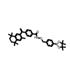 C=C(c1ccc(C(=O)NOCc2ccc(B3OC(C)(C)C(C)(C)O3)cc2)cc1)c1cc2c(cc1C)C(C)(C)CCC2(C)C